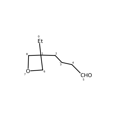 CCC1(C[CH]CC=O)COC1